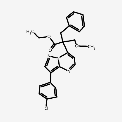 CCOC(=O)C(COC)(Cc1ccccc1)c1ccnc2c(-c3ccc(Cl)cc3)cnn12